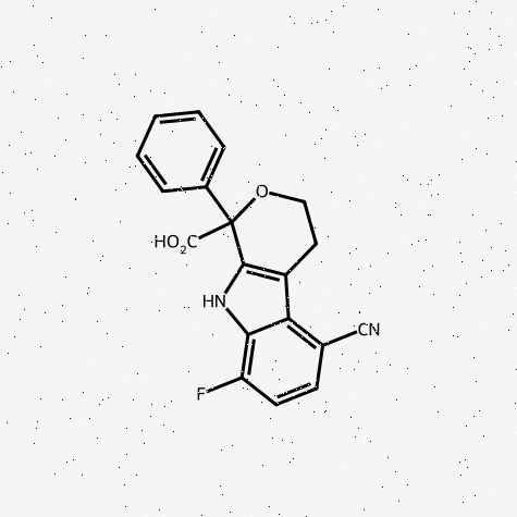 N#Cc1ccc(F)c2[nH]c3c(c12)CCOC3(C(=O)O)c1ccccc1